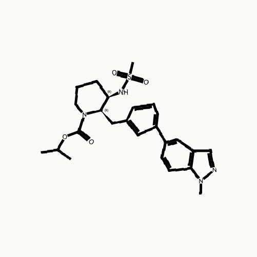 CC(C)OC(=O)N1CCC[C@@H](NS(C)(=O)=O)[C@H]1Cc1cccc(-c2ccc3c(cnn3C)c2)c1